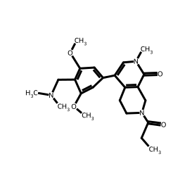 CCC(=O)N1CCc2c(-c3cc(OC)c(CN(C)C)c(OC)c3)cn(C)c(=O)c2C1